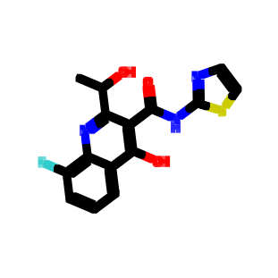 CC(O)c1nc2c(F)cccc2c(O)c1C(=O)Nc1nccs1